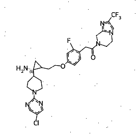 N[C@]1(C2CCN(c3ncc(Cl)cn3)CC2)CC1CCOc1ccc(CC(=O)N2CCn3cc(C(F)(F)F)nc3C2)c(F)c1